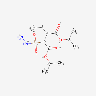 CCC(C(=O)OC(C)C)C(C(=O)OC(C)C)S(=O)(=O)NN